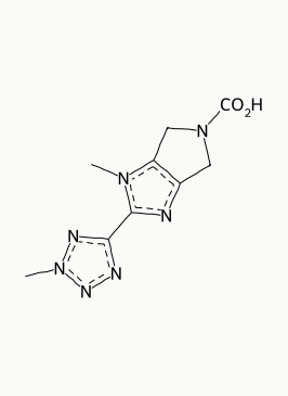 Cn1nnc(-c2nc3c(n2C)CN(C(=O)O)C3)n1